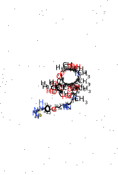 CC[C@H]1OC(=O)[C@H](C)C([C@H]2C[C@@](C)(OC)[C@@H](O)[C@H](C)O2)[C@H](C)[C@@H](O[C@@H]2O[C@H](C)C[C@H](N(C)CCc3cn(CCCOc4ccc(Nc5nnns5)cc4)nn3)[C@H]2O)[C@](C)(O)C[C@@H](C)CN(C)[C@H](C)[C@@H](O)[C@]1(C)O